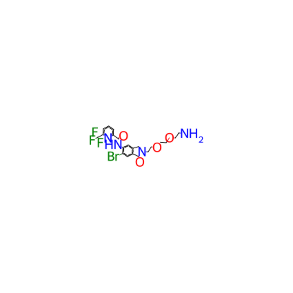 NCCOCCOCCN1Cc2cc(NC(=O)c3cccc(C(F)(F)F)n3)c(Br)cc2C1=O